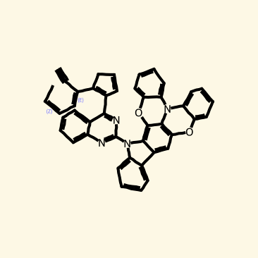 C#C/C(=C\C=C/C)C1=C(c2nc(-n3c4ccccc4c4cc5c6c(c43)Oc3ccccc3N6c3ccccc3O5)nc3ccccc23)C=CC1